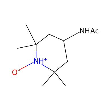 CC(=O)NC1CC(C)(C)[NH+]([O-])C(C)(C)C1